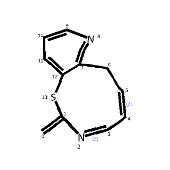 C=C1/N=C\C=C/Cc2ncccc2S1